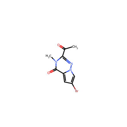 CC(=O)c1nn2cc(Br)cc2c(=O)n1C